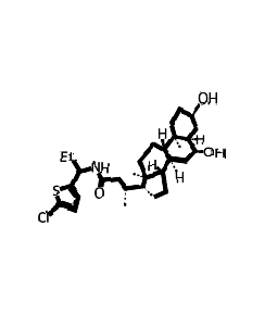 CCC(NC(=O)C[C@@H](C)[C@H]1CC[C@H]2[C@@H]3C[C@H](O)[C@@H]4C[C@H](O)CC[C@]4(C)[C@H]3CC[C@]12C)c1ccc(Cl)s1